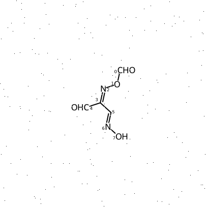 O=CON=C(C=O)C=NO